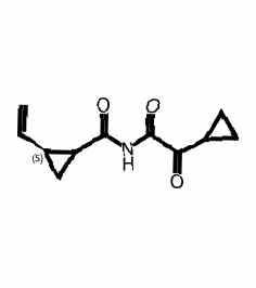 C=C[C@@H]1CC1C(=O)NC(=O)C(=O)C1CC1